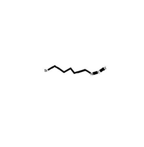 S=C=NCCCCCBr